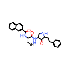 CC(C)C[C@H](NC(=O)c1ccc2ccccc2c1)C(=O)NC1CNC(CCc2ccccc2)C1=O